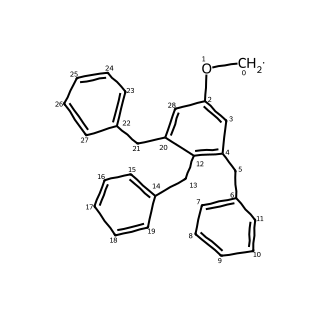 [CH2]Oc1cc(Cc2ccccc2)c(Cc2ccccc2)c(Cc2ccccc2)c1